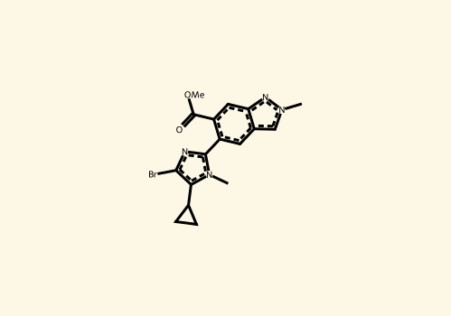 COC(=O)c1cc2nn(C)cc2cc1-c1nc(Br)c(C2CC2)n1C